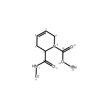 CCNC(=O)C1CC=CCN1C(=O)OC(C)(C)C